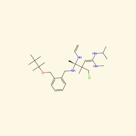 C=CN[C@@](C)(NCc1ccccc1CO[Si](C)(C)C(C)(C)C)C(C)(/C=C(\NC)NC(C)C)CCl